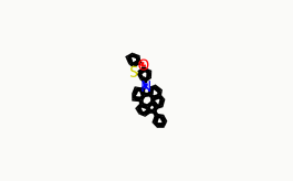 C1=CC2=C(CC1)Oc1ccc(-n3c4cccc5c4c4c6c7c(ccc6ccc43)C(c3ccccc3)c3cccc-5c3-7)cc1S2